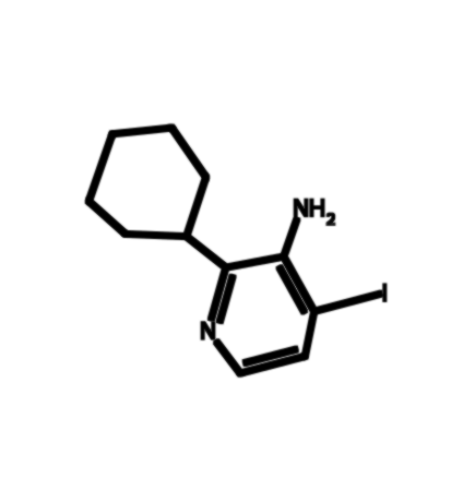 Nc1c(I)ccnc1C1CCCCC1